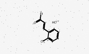 CCC(=O)C=Cc1ccccc1Cl.Cl